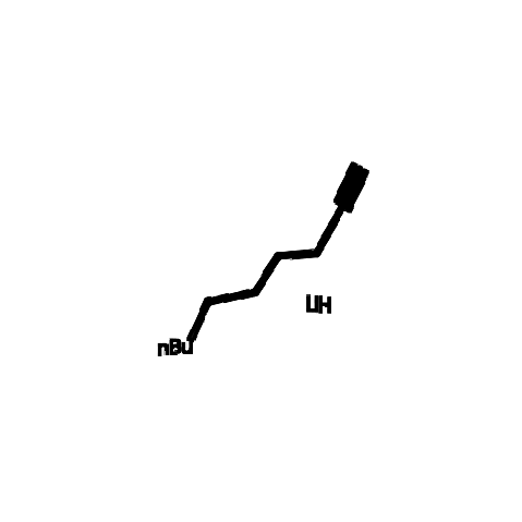 C#CCCCCCCCC.[LiH]